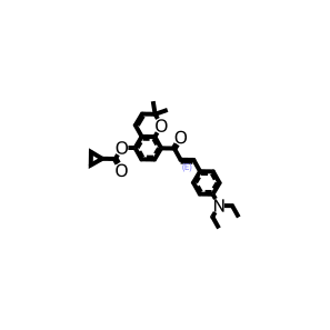 CCN(CC)c1ccc(/C=C/C(=O)c2ccc(OC(=O)C3CC3)c3c2OC(C)(C)C=C3)cc1